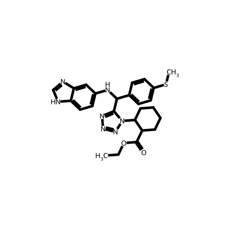 CCOC(=O)C1CCCCC1n1nnnc1C(Nc1ccc2[nH]cnc2c1)c1ccc(SC)cc1